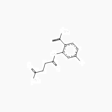 C=C(OC)c1ccc(F)cc1NC(=O)CCC(=O)OC